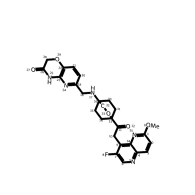 COc1ccc2ncc(F)c(CC(=O)C34CCC(NCc5ccc6c(n5)NC(=O)CO6)(CC3)CO4)c2n1